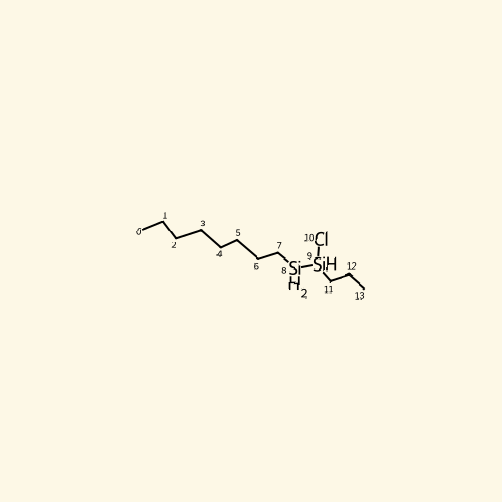 CCCCCCCC[SiH2][SiH](Cl)CCC